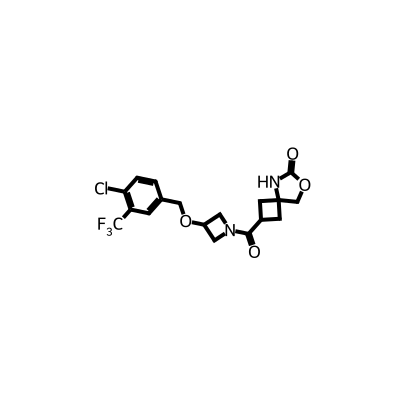 O=C1NC2(CO1)CC(C(=O)N1CC(OCc3ccc(Cl)c(C(F)(F)F)c3)C1)C2